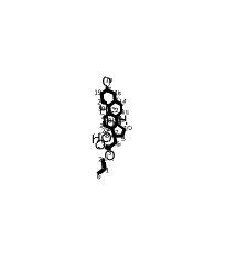 CCCOC(=O)CC1(O)CC[C@H]2[C@@H]3CCC4CC(=O)CC[C@]4(C)[C@@H]3CC[C@@]21C